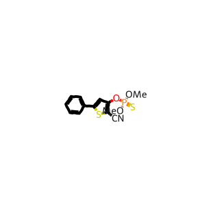 COP(=S)(OC)Oc1cc(-c2ccccc2)sc1C#N